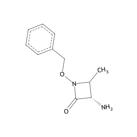 CC1[C@H](N)C(=O)N1OCc1ccccc1